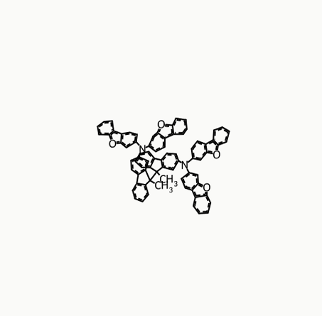 CC1(C2(C)c3ccccc3-c3ccc(N(c4ccc5c(c4)oc4ccccc45)c4ccc5c(c4)oc4ccccc45)cc32)c2ccccc2-c2ccc(N(c3ccc4c(c3)oc3ccccc34)c3ccc4c(c3)oc3ccccc34)cc21